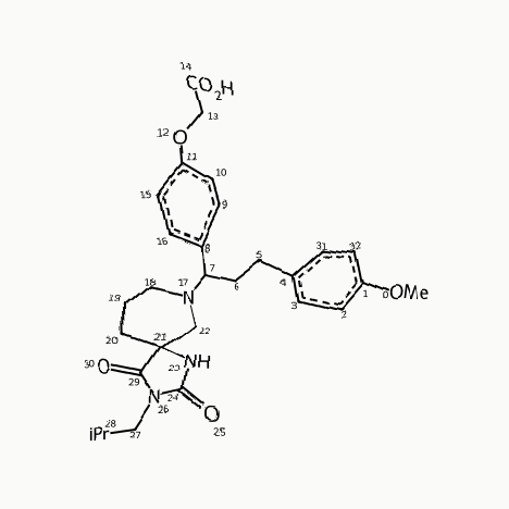 COc1ccc(CCC(c2ccc(OCC(=O)O)cc2)N2CCCC3(C2)NC(=O)N(CC(C)C)C3=O)cc1